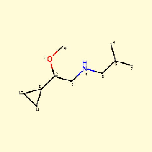 COC(CNCC(C)C)C1CC1